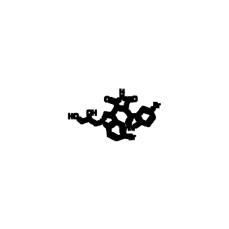 O=C1NC(=O)C(c2cn(CC(O)CO)c3ccc(Br)cc23)=C1c1c[nH]c2ccc(Br)cc12